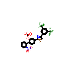 O=C(O)Oc1cc(-c2nc(-c3cc(C(F)(F)F)cc(C(F)(F)F)c3)cs2)ccc1-c1ccccc1[N+](=O)[O-]